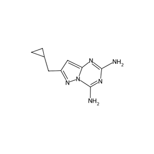 Nc1nc(N)n2nc(CC3CC3)cc2n1